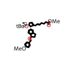 COC(=O)CCCC=CCC1=CC[C@@H](O[Si](C)(C)C(C)(C)C)[C@H]1c1ccc2c(c1)CCC2OCc1ccc(OC)cc1